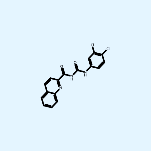 O=C(NC(=O)c1ccc2ccccc2n1)Nc1ccc(Cl)c(Cl)c1